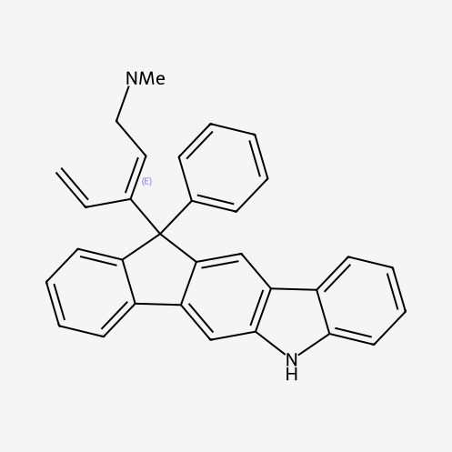 C=C/C(=C\CNC)C1(c2ccccc2)c2ccccc2-c2cc3[nH]c4ccccc4c3cc21